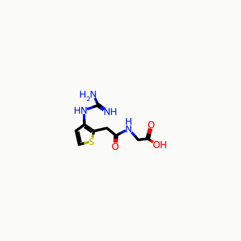 N=C(N)Nc1ccsc1CC(=O)NCC(=O)O